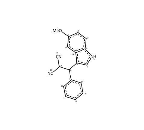 COc1ccc2[nH]cc(C(c3ccccc3)C(C#N)C#N)c2c1